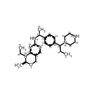 C=C1OCc2cnc(N[C@@H](C)c3ccc(C(CC)N4CCNCC4)cc3)nc2N1CC